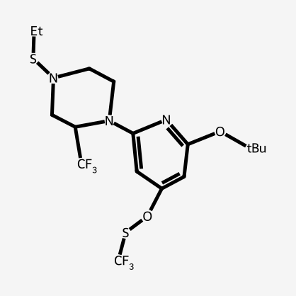 CCSN1CCN(c2cc(OSC(F)(F)F)cc(OC(C)(C)C)n2)C(C(F)(F)F)C1